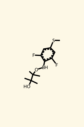 CSc1cc(F)c(BOC(C)(C)C(C)(C)O)c(F)c1